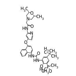 COc1c(NC(=O)Nc2ccc(Oc3ccnc(NC(=O)CN4CC(C)OC(C)C4)c3)c3ccccc23)cc(C(C)(C)C)cc1P(C)(C)=O